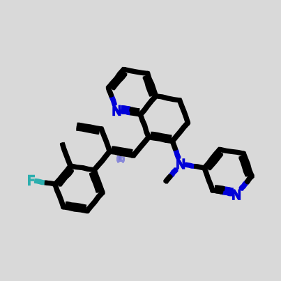 C=C/C(=C\C1=C(N(C)c2cccnc2)CCc2cccnc21)c1cccc(F)c1C